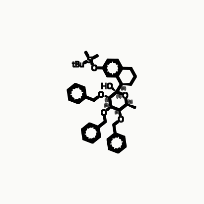 C[C@@H]1O[C@](O)([C@@H]2CCCc3ccc(O[Si](C)(C)C(C)(C)C)cc32)[C@@H](OCc2ccccc2)[C@H](OCc2ccccc2)[C@@H]1OCc1ccccc1